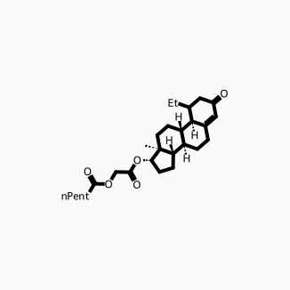 CCCCCC(=O)OCC(=O)O[C@H]1CC[C@H]2[C@@H]3CCC4=CC(=O)CC(CC)[C@@H]4[C@H]3CC[C@]12C